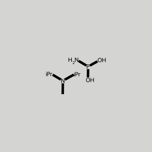 CC(C)N(C)C(C)C.NP(O)O